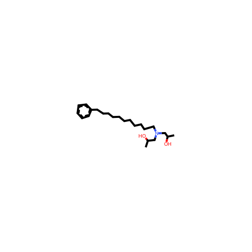 CC(O)CN(CCCCCCCCCCCc1ccccc1)CC(C)O